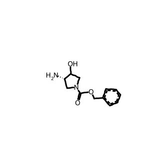 N[C@H]1CN(C(=O)OCc2ccccc2)CC1O